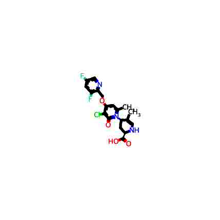 CC1=CN[C@@H](C(=O)O)C[C@H]1n1c(C)cc(OCc2ncc(F)cc2F)c(Cl)c1=O